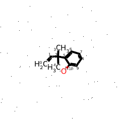 C=CC(C)(C)c1ccccc1[O]